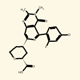 Cc1nc2cc([C@H]3CCO[C@@H](C(=O)O)C3)nc(-c3ccc(Cl)cc3F)c2c(=O)n1C